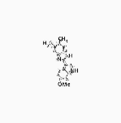 COc1ccc2c(-c3nc4cc(C)c(C)cc4[nH]3)n[nH]c2c1